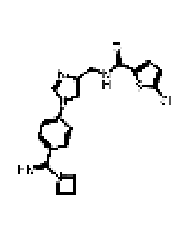 N=C(c1ccc(-n2cnc(CNC(=O)c3ccc(Cl)s3)c2)cc1)N1CCC1